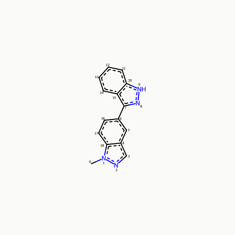 Cn1ncc2cc(-c3n[nH]c4ccccc34)ccc21